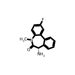 CN1C(=O)[C@@H](N)c2ccccc2-c2cc(F)ccc21